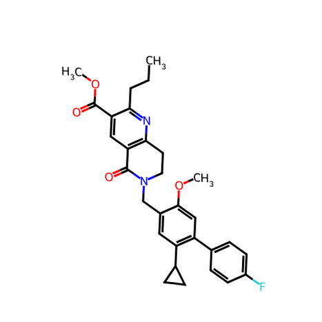 CCCc1nc2c(cc1C(=O)OC)C(=O)N(Cc1cc(C3CC3)c(-c3ccc(F)cc3)cc1OC)CC2